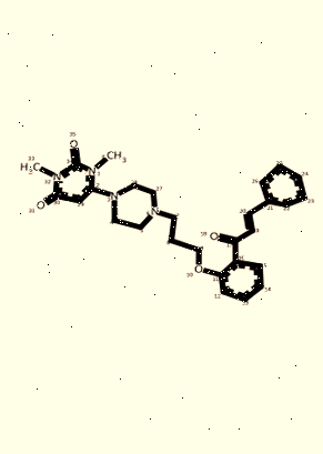 Cn1c(N2CCN(CCCOc3ccccc3C(=O)C=Cc3ccccc3)CC2)cc(=O)n(C)c1=O